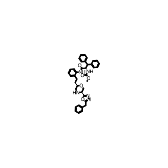 COC(=O)N[C@H](C(=O)Nc1ccccc1CC[C@@H]1CN[C@H](c2nnc(Cc3ccccc3)o2)CO1)C(c1ccccc1)c1ccccc1